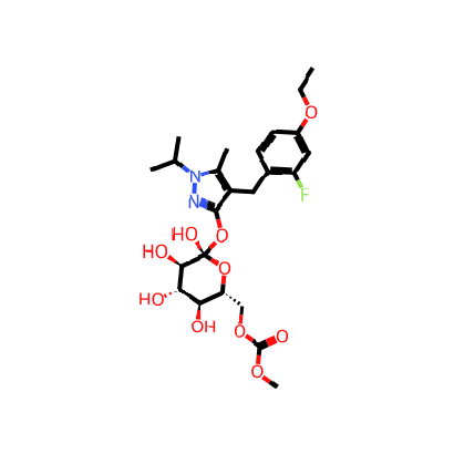 CCOc1ccc(Cc2c(O[C@]3(O)O[C@H](COC(=O)OC)[C@@H](O)[C@H](O)[C@H]3O)nn(C(C)C)c2C)c(F)c1